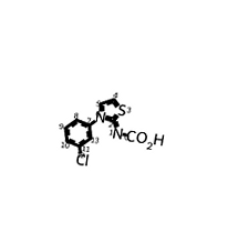 O=C(O)N=c1sccn1-c1cccc(Cl)c1